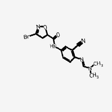 CN(C)C=Nc1ccc(NC(=O)C2CC(Br)=NO2)cc1C#N